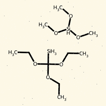 CCOC([SiH3])(OCC)OCC.CO[SiH](OC)OC